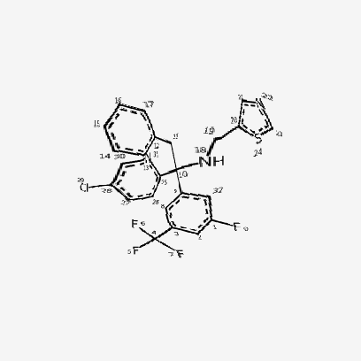 Fc1cc(C(F)(F)F)cc(C(Cc2ccccc2)(NCc2cncs2)c2ccc(Cl)cn2)c1